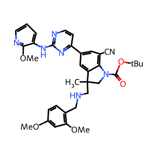 COc1ccc(CNCC2(C)CN(C(=O)OC(C)(C)C)c3c(C#N)cc(-c4ccnc(Nc5cccnc5OC)n4)cc32)c(OC)c1